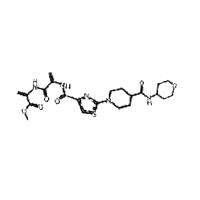 C=C(NC(=O)c1csc(N2CCC(C(=O)NC3CCOCC3)CC2)n1)C(=O)NC(=C)C(=O)OC